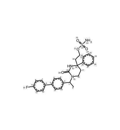 CC(c1ccc(-c2ccc(F)cc2)cc1)N1CCC(CCOS(N)(=O)=O)(c2ccccc2)NC1=O